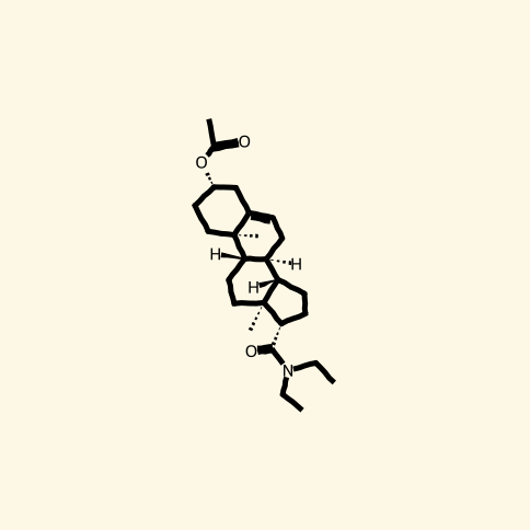 CCN(CC)C(=O)[C@H]1CC[C@H]2[C@@H]3CC=C4C[C@@H](OC(C)=O)CC[C@]4(C)[C@H]3CC[C@]12C